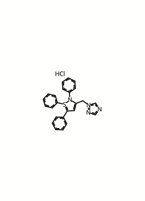 C1=C(Cn2cncn2)N(c2ccccc2)S(c2ccccc2)=C1c1ccccc1.Cl